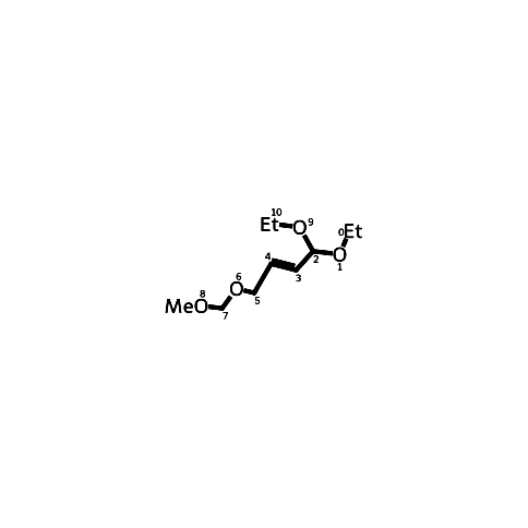 CCOC(C=CCOCOC)OCC